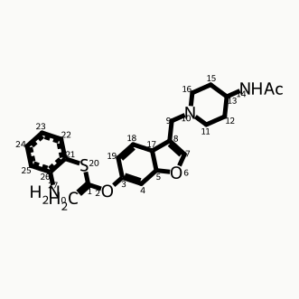 C=C(OC1=CC2OC=C(CN3CCC(NC(C)=O)CC3)C2C=C1)Sc1ccccc1N